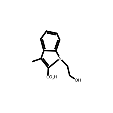 Cc1c(C(=O)O)n(CCO)c2ccccc12